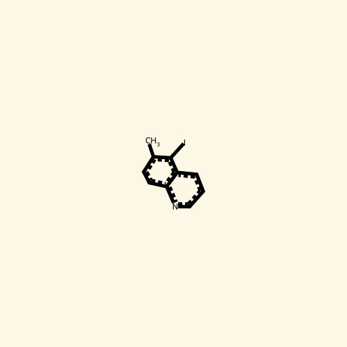 Cc1ccc2ncccc2c1I